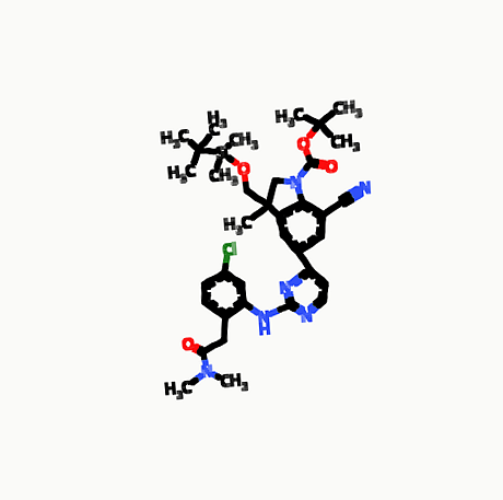 CN(C)C(=O)Cc1ccc(Cl)cc1Nc1nccc(-c2cc(C#N)c3c(c2)C(C)(CO[Si](C)(C)C(C)(C)C)CN3C(=O)OC(C)(C)C)n1